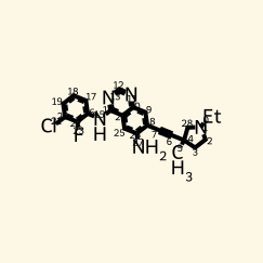 CCN1CCC(C)(C#Cc2cc3ncnc(Nc4cccc(Cl)c4F)c3cc2N)C1